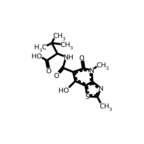 Cc1nc2c(s1)c(O)c(C(=O)NC(C(=O)O)C(C)(C)C)c(=O)n2C